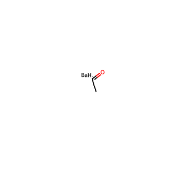 CC=O.[BaH2]